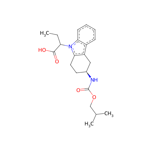 CCC(C(=O)O)n1c2c(c3ccccc31)C[C@@H](NC(=O)OCC(C)C)CC2